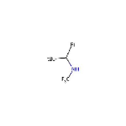 CCC(NC(F)(F)F)C(C)(C)C